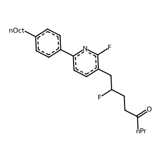 CCCCCCCCc1ccc(-c2ccc(CC(F)CCC(=O)CCC)c(F)n2)cc1